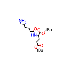 CC(C)(C)OC(=O)CCC(NC(=O)CCCCCN)C(=O)OC(C)(C)C